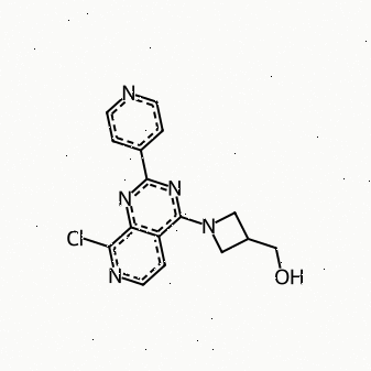 OCC1CN(c2nc(-c3ccncc3)nc3c(Cl)nccc23)C1